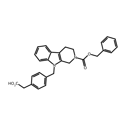 O=C(O)Cc1ccc(Cn2c3c(c4ccccc42)CCN(C(=O)OCc2ccccc2)C3)cc1